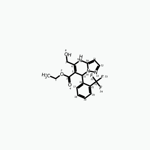 CCOC(=O)C1=C(CO)Nc2ccnn2C1c1ccccc1C(F)(F)F